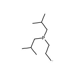 [CH2]CCP(CC(C)C)CC(C)C